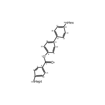 CCCCCCCc1ccc(C(=O)Oc2ccc(-c3ccc(CCCCCC)cc3)cc2)cc1